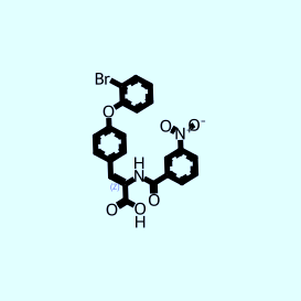 O=C(O)/C(=C/c1ccc(Oc2ccccc2Br)cc1)NC(=O)c1cccc([N+](=O)[O-])c1